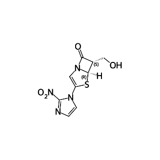 O=C1[C@H](CO)[C@H]2SC(n3ccnc3[N+](=O)[O-])=CN12